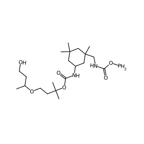 CC(CCO)OCCC(C)(C)OC(=O)NC1CC(C)(C)CC(C)(CNC(=O)OP)C1